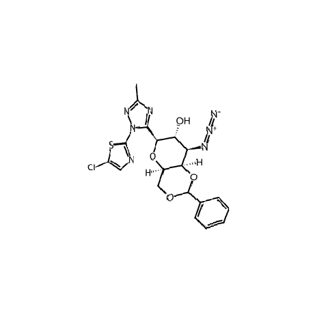 Cc1nc([C@@H]2O[C@@H]3COC(c4ccccc4)O[C@@H]3[C@H](N=[N+]=[N-])[C@H]2O)n(-c2ncc(Cl)s2)n1